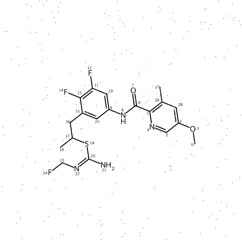 COc1cnc(C(=O)Nc2cc(F)c(F)c(CC(C)S/C(N)=N\CF)c2)c(C)c1